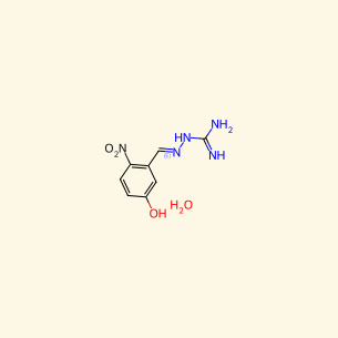 N=C(N)N/N=C/c1cc(O)ccc1[N+](=O)[O-].O